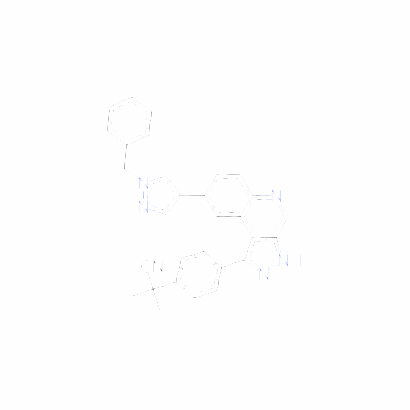 CC(C)(C#N)c1ccc(-c2n[nH]c3cnc4ccc(-c5cnn(Cc6ccccc6)c5)cc4c23)cc1